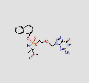 CC(=O)C(C)(C)NP(=O)(OCCOCn1cnc2c(=O)[nH]c(N)nc21)Oc1cccc2ccccc12